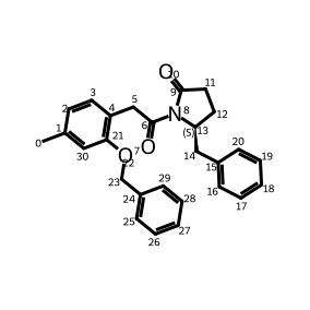 Cc1ccc(CC(=O)N2C(=O)CC[C@H]2Cc2ccccc2)c(OCc2ccccc2)c1